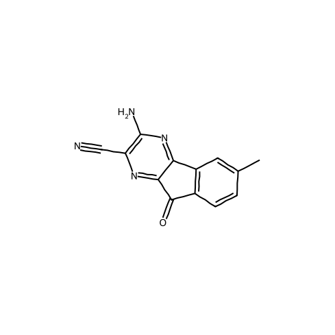 Cc1ccc2c(c1)-c1nc(N)c(C#N)nc1C2=O